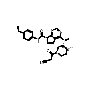 CCc1ccc(NC(=O)n2ccc3c(N(C)[C@H]4CN(C(=O)CC#N)CC[C@H]4C)ncnc32)cc1